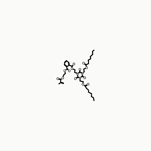 C=C(C)C(=O)OCCOC(=O)c1ccccc1C(=O)OCCn1c(=O)n(CCOC(=O)CCCCCCC)c(=O)n(CCOC(=O)CCCCCCC)c1=O